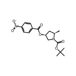 C[C@@H]1C[C@H](OC(=O)c2ccc([N+](=O)[O-])cc2)CN1C(=O)OC(C)(C)C